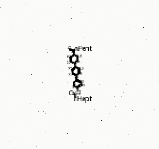 CCCCCCCC(=O)Oc1ccc(-c2ccc(C3=CCC(C(C)CCCCC)CC3)cc2)cc1